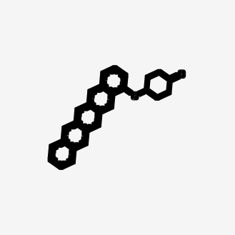 O=C1CCC(Oc2cccc3cc4cc5cc6ccccc6cc5cc4cc23)CC1